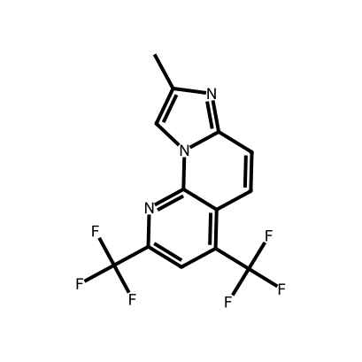 Cc1cn2c(ccc3c(C(F)(F)F)cc(C(F)(F)F)nc32)n1